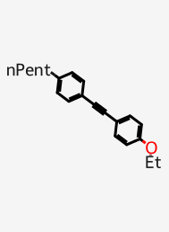 CCCCCc1ccc(C#Cc2ccc(OCC)cc2)cc1